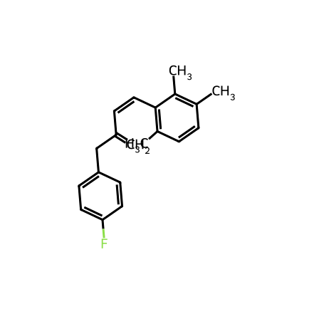 C=C(/C=C\c1c(C)ccc(C)c1C)Cc1ccc(F)cc1